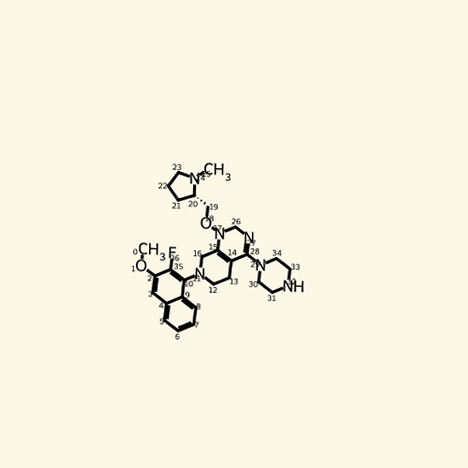 COc1cc2ccccc2c(N2CCC3=C(C2)N(OC[C@@H]2CCCN2C)CN=C3N2CCNCC2)c1F